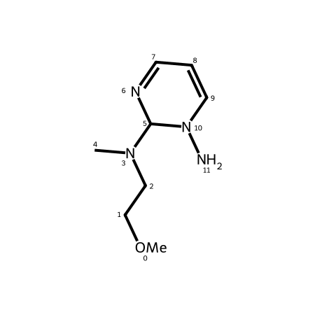 COCCN(C)C1N=CC=CN1N